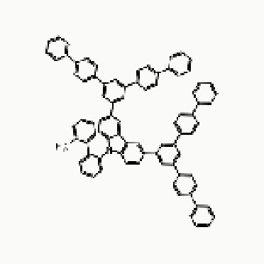 FC(F)(F)c1ccccc1-c1ccccc1-n1c2ccc(-c3cc(-c4ccc(-c5ccccc5)cc4)cc(-c4ccc(-c5ccccc5)cc4)c3)cc2c2cc(-c3cc(-c4ccc(-c5ccccc5)cc4)cc(-c4ccc(-c5ccccc5)cc4)c3)ccc21